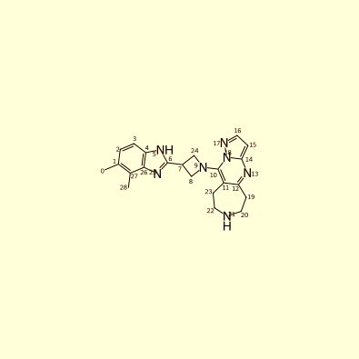 Cc1ccc2[nH]c(C3CN(c4c5c(nc6ccnn46)CCNCC5)C3)nc2c1C